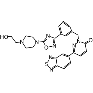 O=c1ccc(-c2ccc3nsnc3c2)nn1Cc1cccc(-c2noc(N3CCN(CCO)CC3)n2)c1